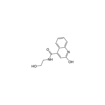 O=C(NCCO)c1cc(O)nc2ccccc12